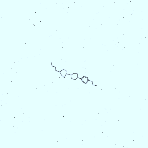 CCCC[C@H]1CC[C@H]([C@H]2CC[C@H](c3ccc(CCC)cc3)CC2)CC1